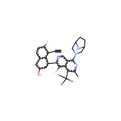 [2H]C([2H])([2H])c1c(C)nc(N2CC3CCC(C2)N3)c2cnc(-c3cc(O)cc4ccc(F)c(C#C)c34)c(F)c12